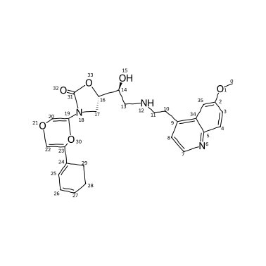 COc1ccc2nccc(CCNC[C@H](O)[C@@H]3CN(C4=COC=C(C5=CC=CCC5)O4)C(=O)O3)c2c1